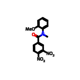 COc1ccccc1N(C)C(=O)c1ccc([N+](=O)[O-])c([N+](=O)[O-])c1